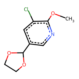 COc1ncc(C2OCCO2)cc1Cl